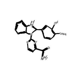 COc1ccc(C2Nc3ccccc3N2c2nccc(C(N)=O)n2)cc1O